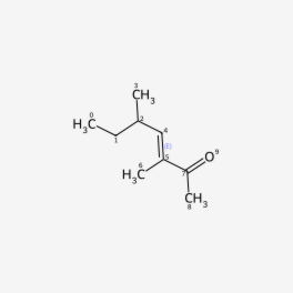 CCC(C)/C=C(\C)C(C)=O